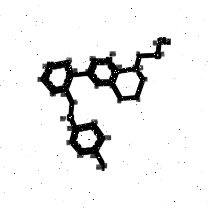 CC(C)(C)OCN1CCCc2cc(-c3cnccc3COc3ccc(F)cc3)cnc21